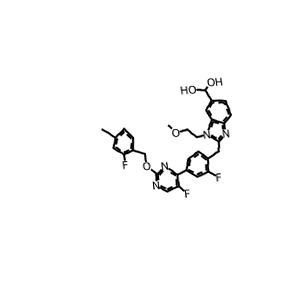 COCCn1c(Cc2ccc(-c3nc(OCc4ccc(C)cc4F)ncc3F)cc2F)nc2ccc(C(O)O)cc21